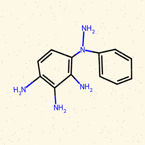 Nc1ccc(N(N)c2ccccc2)c(N)c1N